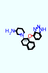 N[C@H]1CCCN([C@H]2CCc3ccccc3[C@@H]2Oc2cccc3[nH]nnc23)C1